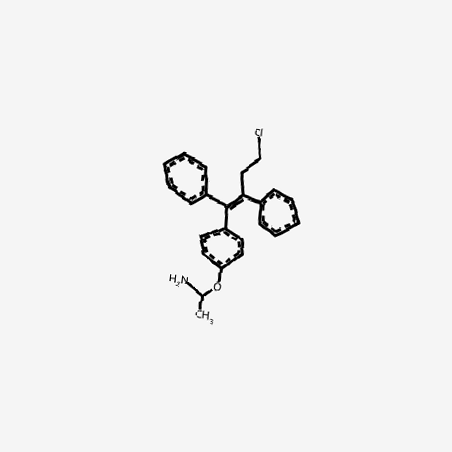 CC(N)Oc1ccc(/C(=C(/CCCl)c2ccccc2)c2ccccc2)cc1